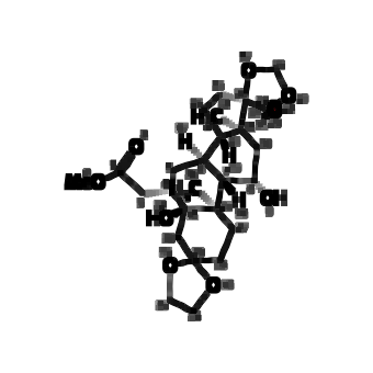 COC(=O)C[C@@H]1C[C@@H]2[C@H]([C@@H](O)C[C@@]3(C)[C@H]2CC[C@@]32OCOC23COCO3)[C@@]2(C)CCC3(C[C@]12O)OCCO3